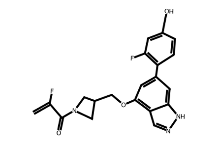 C=C(F)C(=O)N1CC(COc2cc(-c3ccc(O)cc3F)cc3[nH]ncc23)C1